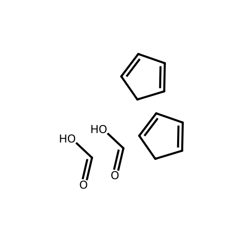 C1=CCC=C1.C1=CCC=C1.O=CO.O=CO